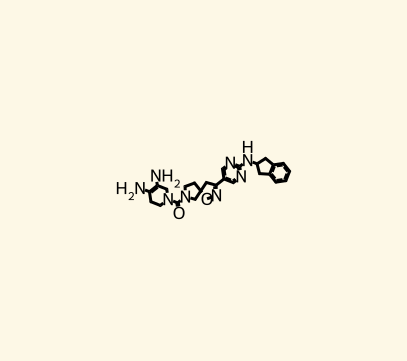 NC1=C(N)CN(C(=O)N2CCC3(CC(c4cnc(NC5Cc6ccccc6C5)nc4)=NO3)C2)CC1